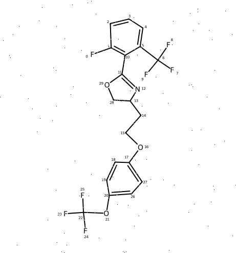 Fc1cccc(C(F)(F)F)c1C1=NC(CCOc2ccc(OC(F)(F)F)cc2)CO1